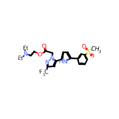 CCN(CC)CCOC(=O)Cn1nc(C(F)(F)F)cc1-c1ccc(-c2cccc(S(C)(=O)=O)c2)[nH]1